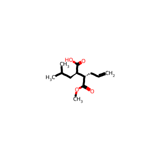 C=CC[C@H](C(=O)OC)[C@@H](CC(C)C)C(=O)O